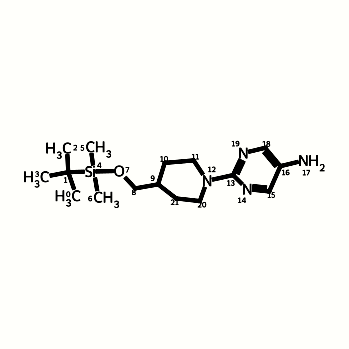 CC(C)(C)[Si](C)(C)OCC1CCN(c2ncc(N)cn2)CC1